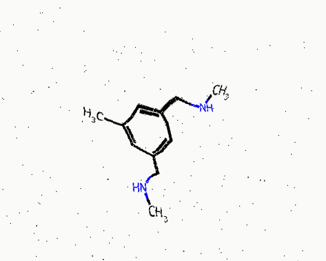 CNCc1cc(C)cc(CNC)c1